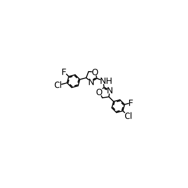 Fc1cc(C2COC(NC3=NC(c4ccc(Cl)c(F)c4)CO3)=N2)ccc1Cl